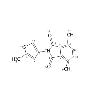 Cc1cc(N2C(=O)c3c(C)ccc(C)c3C2=O)cs1